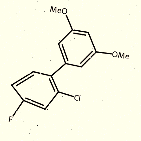 COc1cc(OC)cc(-c2ccc(F)[c]c2Cl)c1